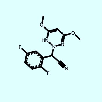 COC1=CC(OC)=NN(C(C#N)c2cc(F)ccc2F)N1